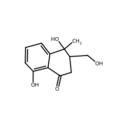 CC1(O)c2cccc(O)c2C(=O)CC1CO